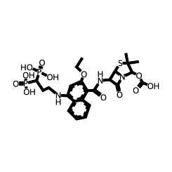 CCOc1cc(NCCC(P(=O)(O)O)P(=O)(O)O)c2ccccc2c1C(=O)NC1C(=O)N2C1SC(C)(C)C2OC(=O)O